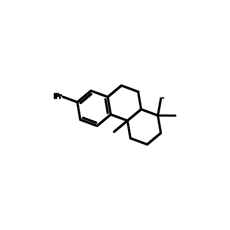 [CH2]C1(C)CCCC2(C)c3ccc(C(C)C)cc3CCC12